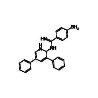 Bc1ccc(C(=N)NC2NC=C(c3ccccc3)C=C2c2ccccc2)cc1